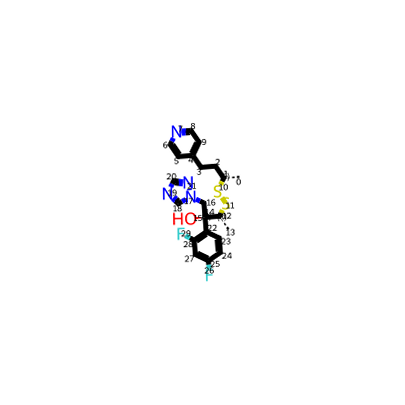 C[C@@H](CCc1ccncc1)SS[C@H](C)[C@](O)(Cn1cncn1)c1ccc(F)cc1F